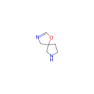 C1=NCC2(CCNC2)O1